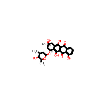 CC(=O)[C@]1(O)Cc2c(O)c3c(c(O)c2[C@@H](OC2CC(C)C(O)C(C)O2)C1)C(=O)c1c(O)cccc1C3=O